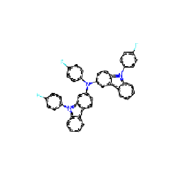 Fc1ccc(N(c2ccc3c(c2)c2ccccc2n3-c2ccc(F)cc2)c2ccc3c4ccccc4n(-c4ccc(F)cc4)c3c2)cc1